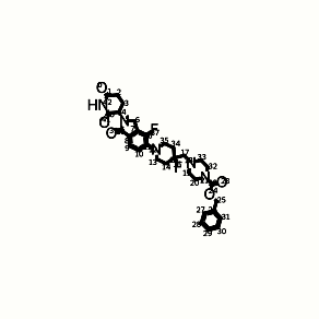 O=C1CCC(N2Cc3c(ccc(N4CCC(F)(CN5CCN(C(=O)OCc6ccccc6)CC5)CC4)c3F)C2=O)C(=O)N1